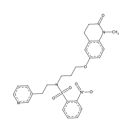 CN1C(=O)CCc2cc(OCCCN(CCc3cccnc3)S(=O)(=O)c3ccccc3[N+](=O)[O-])ccc21